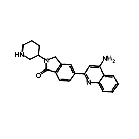 Nc1cc(-c2ccc3c(c2)CN(C2CCCNC2)C3=O)nc2ccccc12